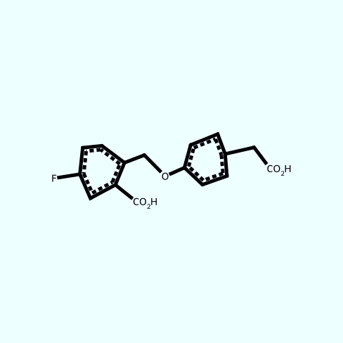 O=C(O)Cc1ccc(OCc2ccc(F)cc2C(=O)O)cc1